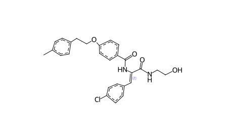 Cc1ccc(CCOc2ccc(C(=O)N/C(=C\c3ccc(Cl)cc3)C(=O)NCCO)cc2)cc1